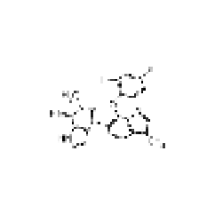 Cn1cc(-c2ccc3c(ncn3C)c2Oc2ccc(F)cc2F)c2cc[nH]c2c1=N